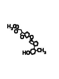 COC(=O)CC1COc2cc(O[C@@H]3CCc4c(-c5cc(O)ccc5C)cccc43)ccc21